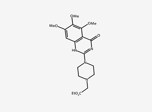 CCOC(=O)CN1CCN(c2nc(=O)c3c(OC)c(OC)c(OC)cc3[nH]2)CC1